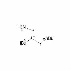 CCCCCC(CN)C(C)CC